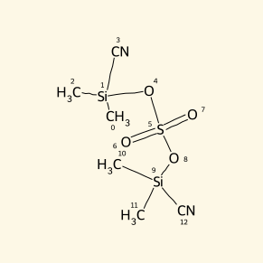 C[Si](C)(C#N)OS(=O)(=O)O[Si](C)(C)C#N